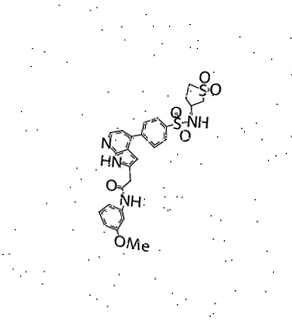 COc1cccc(NC(=O)Cc2cc3c(-c4ccc(S(=O)(=O)NC5CCS(=O)(=O)C5)cc4)ccnc3[nH]2)c1